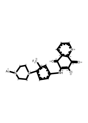 CC(=O)N1CCN(c2ccc(NC3=C(Cl)C(=O)c4ncccc4C3=O)cc2C(F)(F)F)CC1